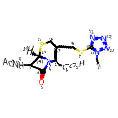 CC(=O)NC1C(=O)N2C(C(=O)O)=C(CSc3nnnn3C)CS[C@@H]12